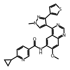 COc1cc2ncnc(-c3cn(C)nc3-c3ccsc3)c2cc1NC(=O)c1ccc(C2CC2)nc1